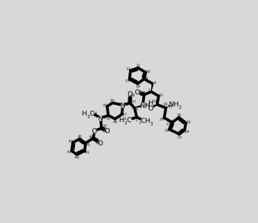 CC(C)[C@H](NC(=O)[C@@H](Cc1ccccc1)C[C@H](O)[C@H](N)Cc1ccccc1)C(=O)N1CCC(N(C)C(=O)OC(=O)c2ccccc2)CC1